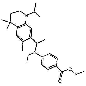 CCOC(=O)c1ccc(N(CC)C(C)c2cc3c(cc2C)C(C)(C)CCN3C(C)C)cc1